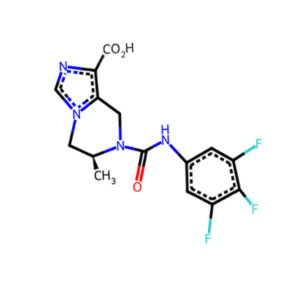 C[C@H]1Cn2cnc(C(=O)O)c2CN1C(=O)Nc1cc(F)c(F)c(F)c1